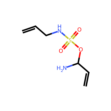 C=CCNS(=O)(=O)OC(N)C=C